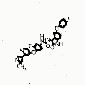 Cn1cc(-c2cc(Oc3ccc(NC(=O)NC4C(=O)Nc5ccc(Oc6ccc(F)cc6)cc54)cc3F)ccn2)cn1